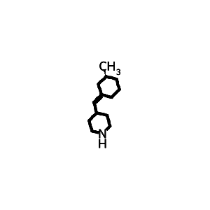 C[C@@H]1CCC/C(=C\C2CCNCC2)C1